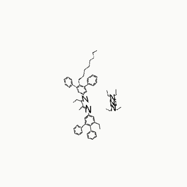 CCCCCCCCc1c(-c2ccccc2)cc(N=C(CC)C(C)=Nc2cc(CC)c(-c3ccccc3)c(-c3ccccc3)c2)cc1-c1ccccc1.CC[N](CC)[Ni][N](CC)CC